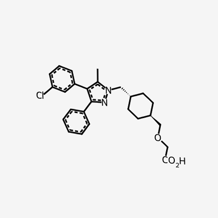 Cc1c(-c2cccc(Cl)c2)c(-c2ccccc2)nn1C[C@H]1CC[C@H](COCC(=O)O)CC1